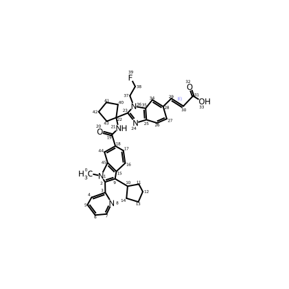 Cn1c(-c2ccccn2)c(C2CCCC2)c2ccc(C(=O)NC3(c4nc5ccc(/C=C/C(=O)O)cc5n4CCF)CCCC3)cc21